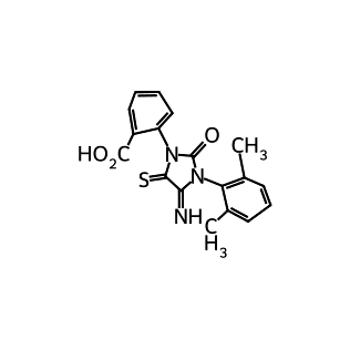 Cc1cccc(C)c1N1C(=N)C(=S)N(c2ccccc2C(=O)O)C1=O